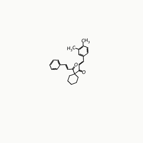 Cc1ccc(/C=C/C(=O)C2(C(=O)/C=C/c3ccccc3)CCCCC2)cc1C